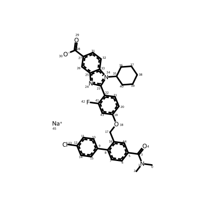 CN(C)C(=O)c1ccc(-c2ccc(Cl)cc2)c(COc2ccc(-c3nc4cc(C(=O)[O-])ccc4n3C3CCCCC3)c(F)c2)c1.[Na+]